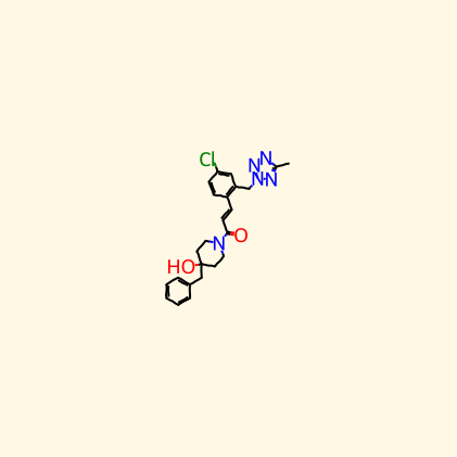 Cc1nnn(Cc2cc(Cl)ccc2C=CC(=O)N2CCC(O)(Cc3ccccc3)CC2)n1